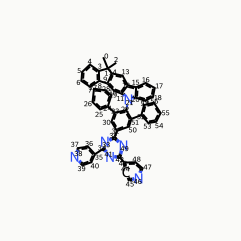 CC1(C)c2ccccc2-c2cc3c(cc21)c1ccccc1n3-c1c(-c2ccccc2)cc(-c2nc(-c3ccncc3)nc(-c3ccncc3)n2)cc1-c1ccccc1